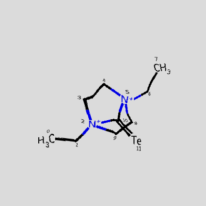 CC[N+]12CC[N+](CC)(CC1)C2=[Te]